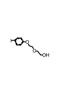 OCCOCCOc1ccc(I)cc1